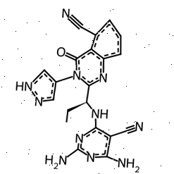 CC[C@H](Nc1nc(N)nc(N)c1C#N)c1nc2cccc(C#N)c2c(=O)n1-c1cn[nH]c1